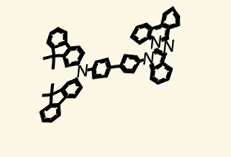 CC1(C)c2ccccc2-c2ccc(N(c3ccc(-c4ccc(-n5c6ccccc6c6nc7c8ccccc8c8ccccc8n7c65)cc4)cc3)c3ccc4c(c3)C(C)(C)c3ccccc3-4)cc21